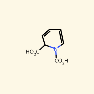 O=C(O)C1C=CC=CN1C(=O)O